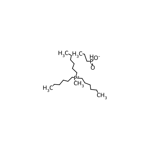 CCCCCC[P+](C)(CCCCCC)CCCCCC.CCC[PH](=O)[O-]